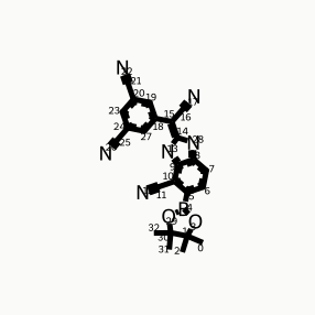 CC1(C)OB(c2ccc3c(c2C#N)=N/C(=C(/C#N)c2cc(C#N)cc(C#N)c2)N=3)OC1(C)C